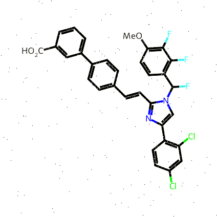 COc1ccc(C(F)n2cc(-c3ccc(Cl)cc3Cl)nc2C=Cc2ccc(-c3cccc(C(=O)O)c3)cc2)c(F)c1F